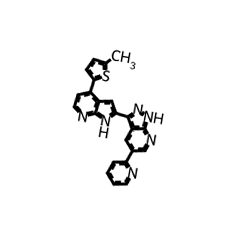 Cc1ccc(-c2ccnc3[nH]c(-c4n[nH]c5ncc(-c6ccccn6)cc45)cc23)s1